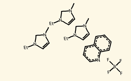 CCN1C=CN(C)C1.CCN1C=CN(C)C1.CCN1C=CN(C)C1.F[B-](F)(F)F.c1ccc2ncccc2c1